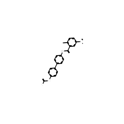 NC(=O)Nc1ccc(-c2ccc(NC(=O)c3cc([N+](=O)[O-])ccc3Cl)cc2)cc1